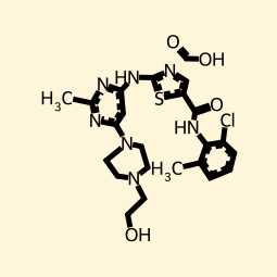 Cc1nc(Nc2ncc(C(=O)Nc3c(C)cccc3Cl)s2)cc(N2CCN(CCO)CC2)n1.O=CO